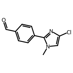 Cn1cc(Cl)nc1-c1ccc(C=O)cc1